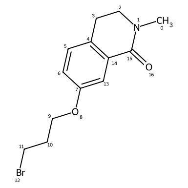 CN1CCc2ccc(OCCCBr)cc2C1=O